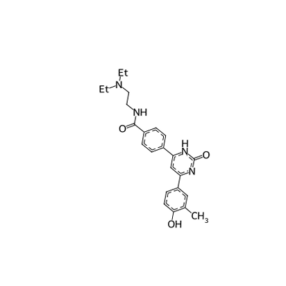 CCN(CC)CCNC(=O)c1ccc(-c2cc(-c3ccc(O)c(C)c3)nc(=O)[nH]2)cc1